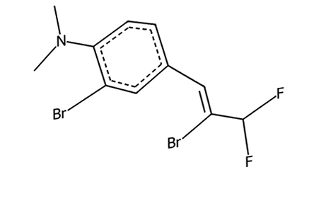 CN(C)c1ccc(/C=C(\Br)C(F)F)cc1Br